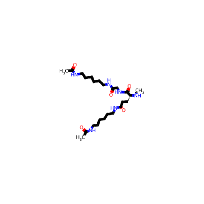 CN[C@H](CCC(=O)NCCCCCCNC(C)=O)C(=O)NCC(=O)NCCCCCCNC(C)=O